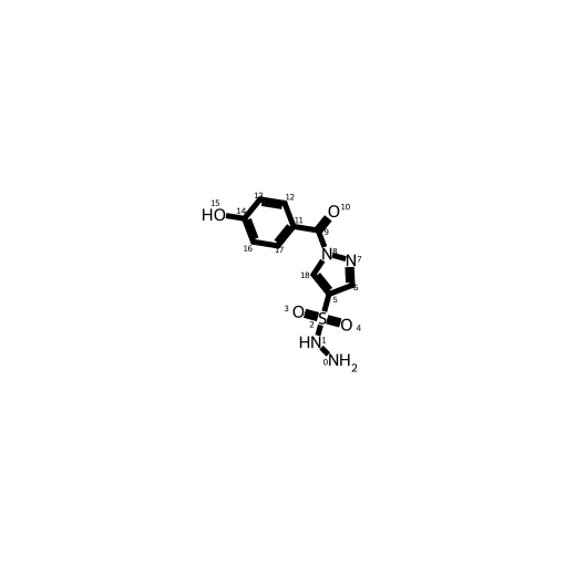 NNS(=O)(=O)c1cnn(C(=O)c2ccc(O)cc2)c1